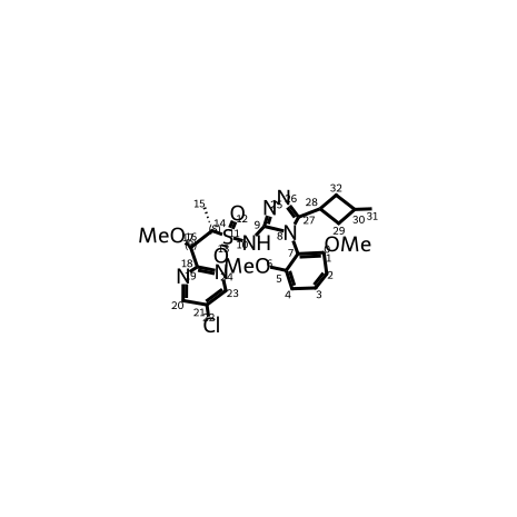 COc1cccc(OC)c1-n1c(NS(=O)(=O)[C@@H](C)[C@H](OC)c2ncc(Cl)cn2)nnc1C1CC(C)C1